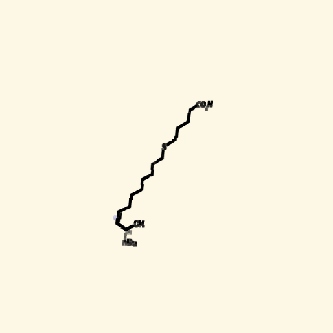 CCCC[C@@H](O)/C=C\CCCCCCCSCCCCC(=O)O